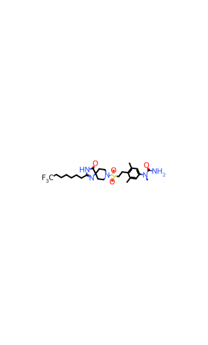 Cc1cc(N(C)C(N)=O)cc(C)c1CCS(=O)(=O)N1CCC2(CC1)N=C(CCCCCCC(F)(F)F)NC2=O